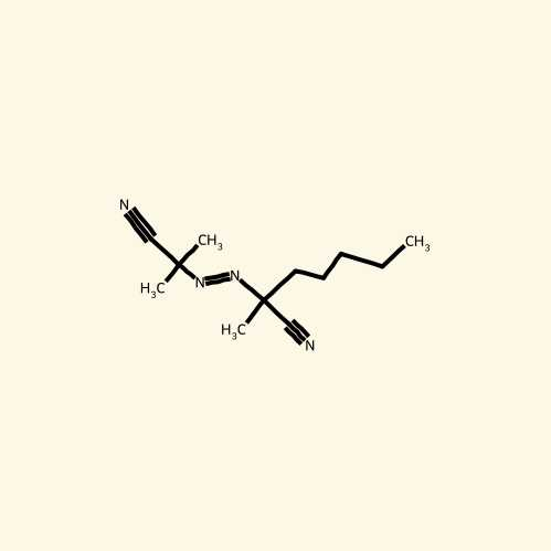 CCCCCC(C)(C#N)N=NC(C)(C)C#N